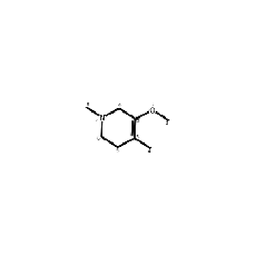 COC1=C(C)CCN(C)C1